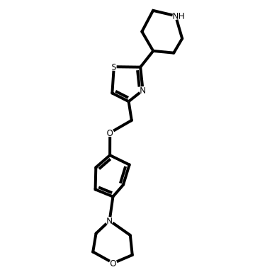 c1cc(N2CCOCC2)ccc1OCc1csc(C2CCNCC2)n1